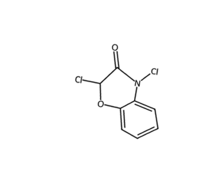 O=C1C(Cl)Oc2ccccc2N1Cl